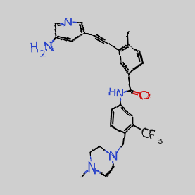 Cc1ccc(C(=O)Nc2ccc(CN3CCN(C)CC3)c(C(F)(F)F)c2)cc1C#Cc1cncc(N)c1